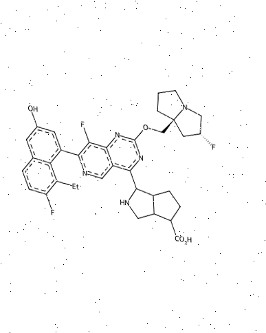 CCc1c(F)ccc2cc(O)cc(-c3ncc4c(C5NCC6C(C(=O)O)CCC56)nc(OC[C@@]56CCCN5C[C@H](F)C6)nc4c3F)c12